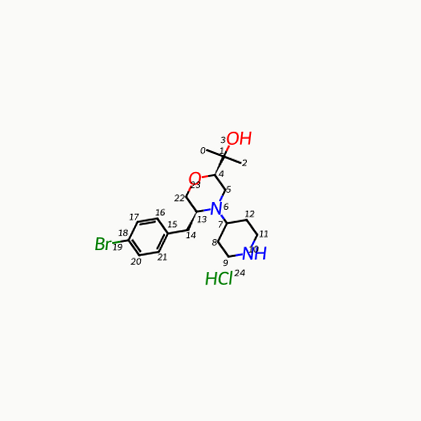 CC(C)(O)[C@H]1CN(C2CCNCC2)[C@@H](Cc2ccc(Br)cc2)CO1.Cl